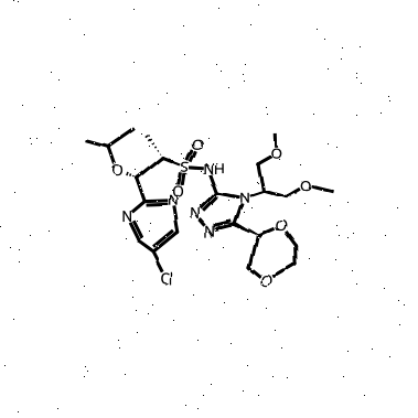 COCC(COC)n1c(NS(=O)(=O)[C@@H](C)[C@@H](OC(C)C)c2ncc(Cl)cn2)nnc1[C@@H]1COCCO1